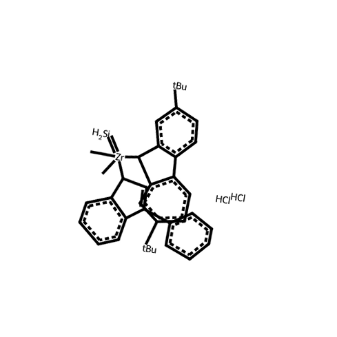 CC(C)(C)c1ccc2c(c1)[CH]([Zr]([CH3])([CH3])(=[SiH2])[CH]1C=C(c3ccccc3)c3ccccc31)c1cc(C(C)(C)C)ccc1-2.Cl.Cl